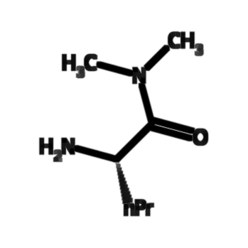 CCC[C@H](N)C(=O)N(C)C